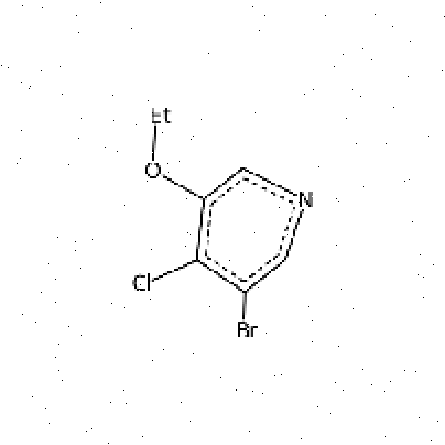 CCOc1cncc(Br)c1Cl